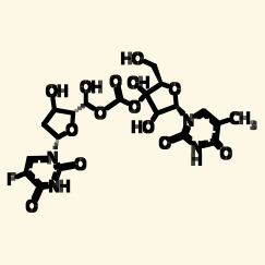 Cc1cn([C@@H]2O[C@H](CO)C(O)(OC(=O)OC(O)[C@@H]3O[C@H](n4cc(F)c(=O)[nH]c4=O)CC3O)C2O)c(=O)[nH]c1=O